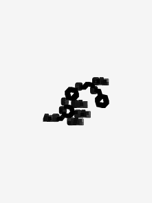 CC(=O)OC[C@H]1O[C@H](Oc2ccc(OCCC(OCc3ccccc3)OC(C)=O)cc2)[C@H](OC(C)=O)[C@@H](OC(C)=O)[C@@H]1OC(C)=O